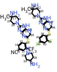 CC1(N)CCN(c2nc3nc(Sc4ccc(C#N)cc4C(F)(F)F)cnc3[nH]2)CC1.CC1(N)CCN(c2nc3nc(Sc4ccc(F)cc4F)cnc3[nH]2)CC1.NC1CCNCC1